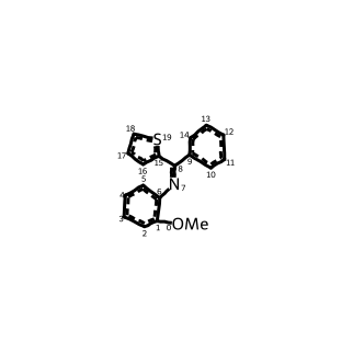 COc1ccccc1N=C(c1ccccc1)c1cccs1